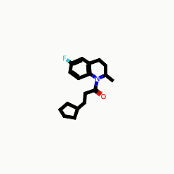 CC1CCc2cc(F)ccc2N1C(=O)CCC1CCCC1